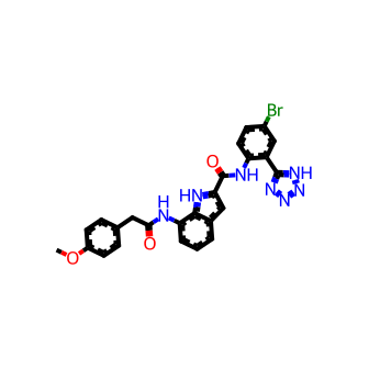 COc1ccc(CC(=O)Nc2cccc3cc(C(=O)Nc4ccc(Br)cc4-c4nnn[nH]4)[nH]c23)cc1